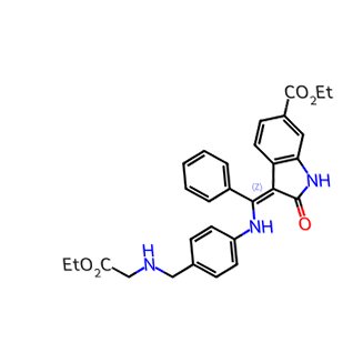 CCOC(=O)CNCc1ccc(N/C(=C2\C(=O)Nc3cc(C(=O)OCC)ccc32)c2ccccc2)cc1